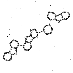 c1cc(-c2cnc3oc4c(-c5cccc6c5sc5ccccc56)cccc4c3n2)cc(-c2cccc3c2sc2ccccc23)c1